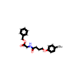 CC(C)(C)c1ccc(OCCCC(=O)NCC(=O)OCc2ccccc2)cc1